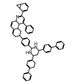 C1=CC2CC2C(C2=NC3C=CC4=CCC(c5ccc(C6NC(C7=CC=C(c8ccccc8)CC7)CC(c7ccc(-c8ccccc8)cc7)N6)cc5)CC4C3C(c3ccccc3)=C2)=C1